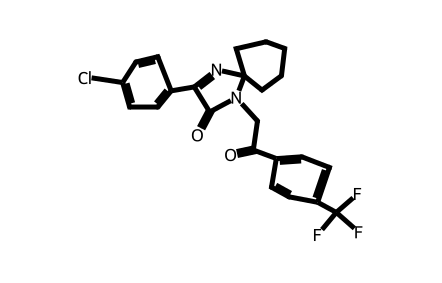 O=C(CN1C(=O)C(c2ccc(Cl)cc2)=NC12CCCCC2)c1ccc(C(F)(F)F)cc1